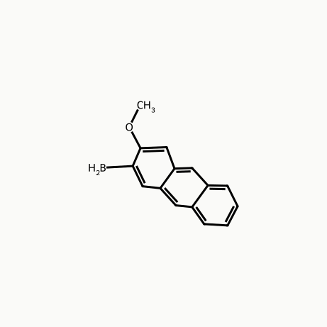 Bc1cc2cc3ccccc3cc2cc1OC